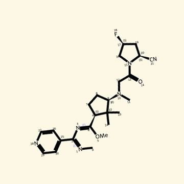 C/N=C(\N=C(/OC)[C@H]1CC[C@@H](N(C)CC(=O)N2C[C@@H](F)C[C@H]2C#N)C1(C)C)c1ccncc1